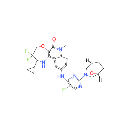 Cn1c(=O)c2c(c3cc(Nc4nc(N5C[C@H]6CC[C@@H](C5)O6)ncc4F)ccc31)NC(C1CC1)C(F)(F)CO2